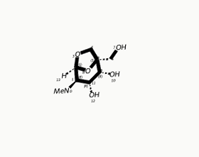 CN[C@H]1[C@H]2OC[C@](CO)(O2)[C@H](O)[C@@H]1O